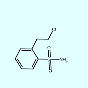 NS(=O)(=O)c1ccccc1CCCl